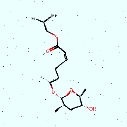 CCC(CC)COC(=O)/C=C\CC[C@@H](C)O[C@@H]1O[C@@H](C)[C@H](O)C[C@H]1C